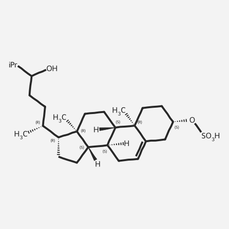 CC(C)C(O)CC[C@@H](C)[C@H]1CC[C@H]2[C@@H]3CC=C4C[C@@H](OS(=O)(=O)O)CC[C@]4(C)[C@H]3CC[C@]12C